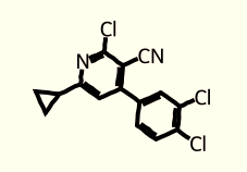 N#Cc1c(-c2ccc(Cl)c(Cl)c2)cc(C2CC2)nc1Cl